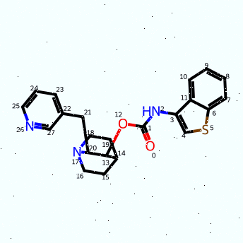 O=C(Nc1csc2ccccc12)OC1C2CCN(CC2)C1Cc1cccnc1